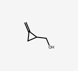 [CH]=C1CC1CO